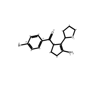 BC1=C(C2CCCO2)C(C(=O)c2ccc(Br)cc2)CC1